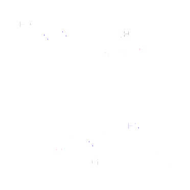 Cn1cc(-c2ccc3c(=O)n(C)cc(-c4cc(S(C)(=O)=O)ccc4NCC4CC4)c3c2)cn1